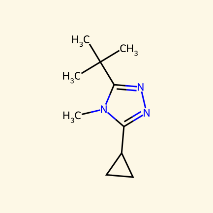 Cn1c(C2CC2)nnc1C(C)(C)C